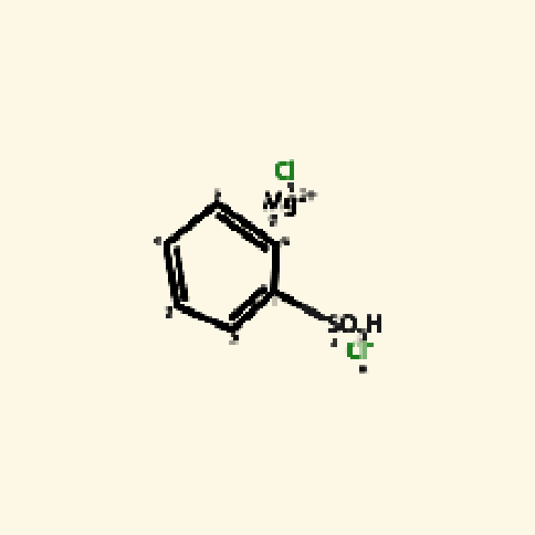 O=S(=O)(O)c1ccccc1.[Cl-].[Cl-].[Mg+2]